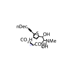 CCCCCCCCCCC#Cc1ccc(C(O)C(CO)NC)s1.O=C(O)/C=C\C(=O)O